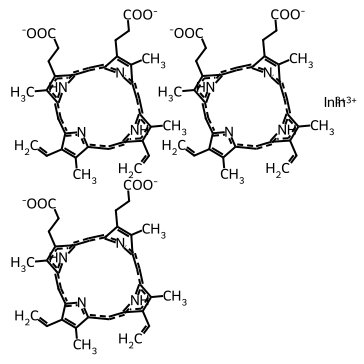 C=CC1=C(C)c2cc3[nH]c(cc4nc(cc5[nH]c(cc1n2)c(C)c5CCC(=O)[O-])C(CCC(=O)[O-])=C4C)c(C)c3C=C.C=CC1=C(C)c2cc3[nH]c(cc4nc(cc5[nH]c(cc1n2)c(C)c5CCC(=O)[O-])C(CCC(=O)[O-])=C4C)c(C)c3C=C.C=CC1=C(C)c2cc3[nH]c(cc4nc(cc5[nH]c(cc1n2)c(C)c5CCC(=O)[O-])C(CCC(=O)[O-])=C4C)c(C)c3C=C.[In+3].[In+3]